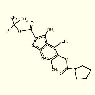 Cc1nc2sc(C(=O)OC(C)(C)C)c(N)c2c(C)c1OC(=O)N1CCCC1